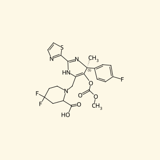 COC(=O)OC1=C(CN2CCC(F)(F)CC2C(=O)O)NC(c2nccs2)=N[C@@]1(C)c1ccc(F)cc1